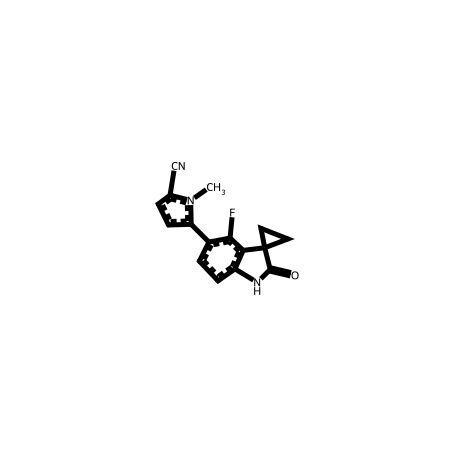 Cn1c(C#N)ccc1-c1ccc2c(c1F)C1(CC1)C(=O)N2